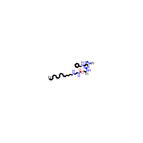 CC/C=C\C/C=C\C/C=C\C/C=C\C/C=C\CCCCNCCNC(=O)OC[C@H](CC)Nc1nc(NCc2ccccc2)c2ncn(C(C)C)c2n1